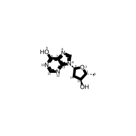 [CH2][C@H]1O[C@@H](n2cnc3c(O)ncnc32)C[C@@H]1O